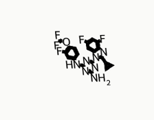 Nc1nc(Nc2ccc(OC(F)F)c(F)c2)nc(-n2c(C3CC3)nc3c(F)cc(F)cc32)n1